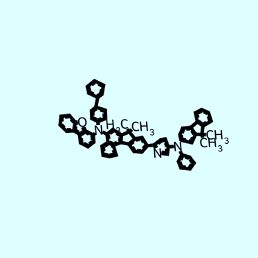 CC1(C)c2ccccc2-c2ccc(N(c3ccccc3)c3ccc(-c4ccc5c(c4)C(C)(C)c4cc(N(c6ccc(-c7ccccc7)cc6)c6cccc7c6oc6ccccc67)c6ccccc6c4-5)nc3)cc21